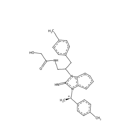 Cc1ccc(CC(CNC(=O)CO)n2c(=N)n([C@H](C)c3ccc(C)cc3)c3ccccc32)cc1